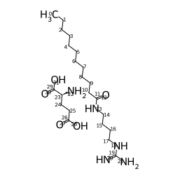 CCCCCCCCCCCC(=O)NCCCCNC(=N)N.N[C@@H](CCC(=O)O)C(=O)O